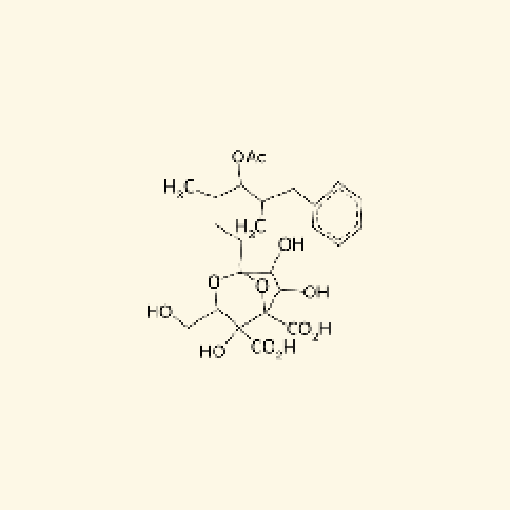 CC(=O)OC(C(C)CCC12OC(CO)C(O)(C(=O)O)C(C(=O)O)(O1)C(O)C2O)C(C)Cc1ccccc1